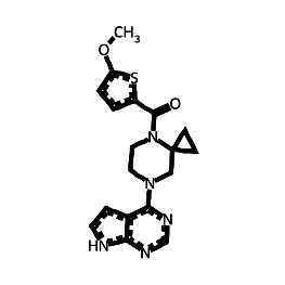 COc1ccc(C(=O)N2CCN(c3ncnc4[nH]ccc34)CC23CC3)s1